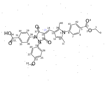 CCOC(=O)c1ccc(-n2c(C)cc(/C=C3\C(=O)N(c4ccc(OC)cc4)N(c4ccc(C(=O)O)cc4)C3=O)c2C)cc1